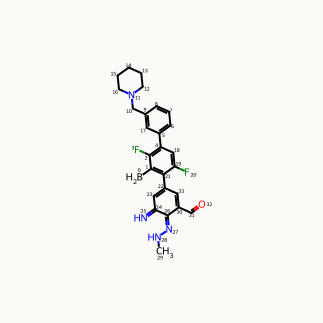 Bc1c(F)c(-c2cccc(CN3CCCCC3)c2)cc(F)c1C1=CC(=N)/C(=N\NC)C(C=O)=C1